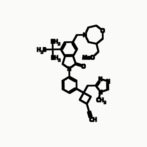 BC(B)(B)c1cc(CN2CCOCC(COC)C2)cc2c1CN(c1cccc(C3(Cc4nncn4C)CC(C#C)C3)c1)C2=O